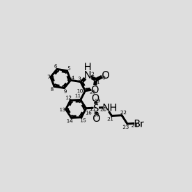 O=c1[nH]c(-c2ccccc2)c(-c2ccccc2S(=O)(=O)NCCCBr)o1